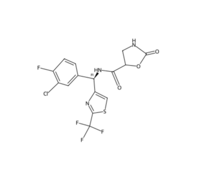 O=C1NCC(C(=O)N[C@H](c2ccc(F)c(Cl)c2)c2csc(C(F)(F)F)n2)O1